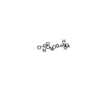 CC(C)(C)OC(=O)NC12CC(COc3ccc4c(ccn4-c4cc(Cl)c(OCCCl)c(C#N)c4)c3)(C1)C2